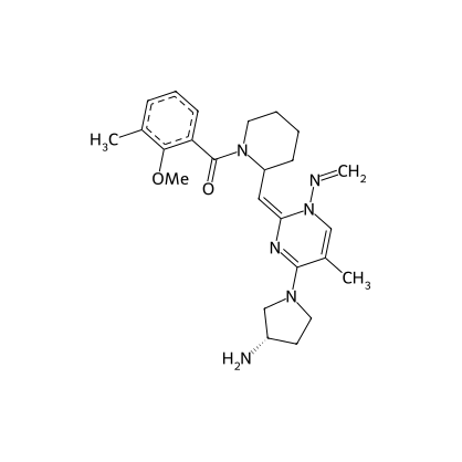 C=NN1C=C(C)C(N2CC[C@H](N)C2)=N/C1=C/C1CCCCN1C(=O)c1cccc(C)c1OC